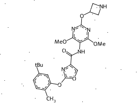 COc1nc(OC2CNC2)nc(OC)c1NC(=O)c1coc(Oc2cc(C(C)(C)C)ccc2C)n1